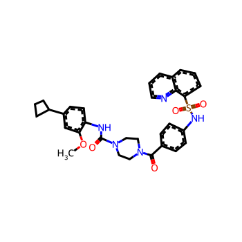 COc1cc(C2CCC2)ccc1NC(=O)N1CCN(C(=O)c2ccc(NS(=O)(=O)c3cccc4cccnc34)cc2)CC1